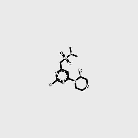 CC[C@H]1COCCN1c1cc(CS(=O)(=O)N(C)C)nc(Br)n1